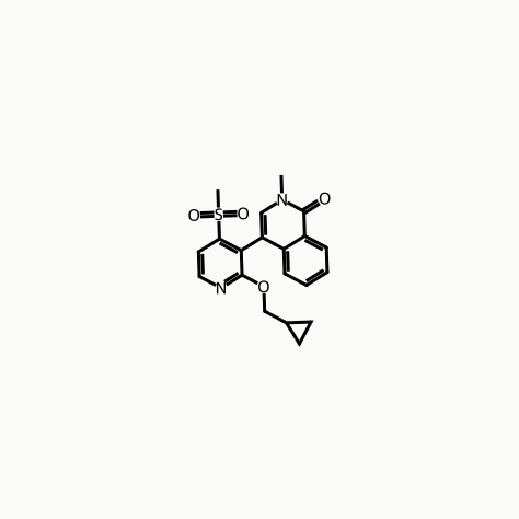 Cn1cc(-c2c(S(C)(=O)=O)ccnc2OCC2CC2)c2ccccc2c1=O